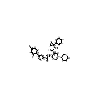 O=C(N[C@H]1CCN(C2CCCCC2)C[C@@H]1C(=O)NC1(c2ccccn2)CC1)c1nnc(-c2ccc(F)cc2F)o1